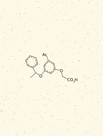 CC(=O)c1cc(OCC(=O)O)cc(OC(C)c2ccccc2)c1